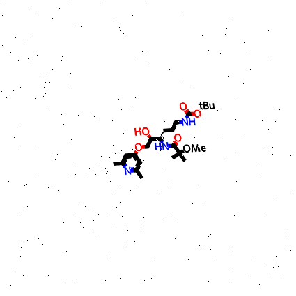 COC(C)(C)C(=O)N[C@@H](CCCNC(=O)OC(C)(C)C)C(O)COc1cc(C)nc(C)c1